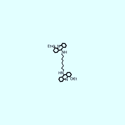 CCOc1cccc2c(NCCCCCCCCNc3c4ccccc4nc4c(OCC)cccc34)c3ccccc3nc12